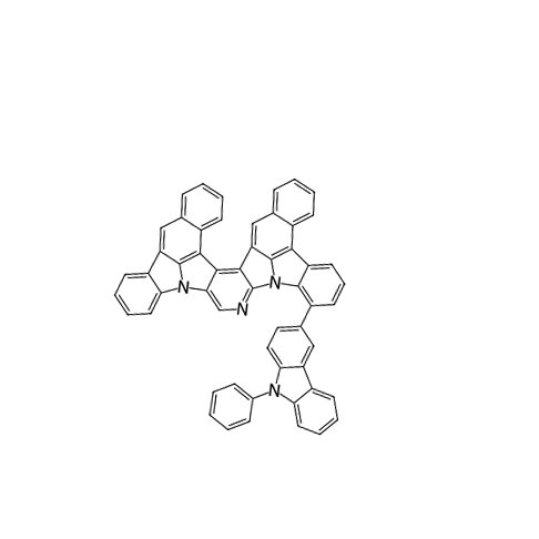 c1ccc(-n2c3ccccc3c3cc(-c4cccc5c6c7ccccc7cc7c8c9c%10c%11ccccc%11cc%11c%12ccccc%12n(c9cnc8n(c45)c76)c%11%10)ccc32)cc1